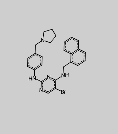 Brc1cnc(Nc2ccc(CN3CCCC3)cc2)nc1NCc1cccc2ccccc12